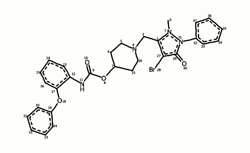 Cn1c(CN2CCC(OC(=O)Nc3ccccc3Oc3ccccc3)CC2)c(Br)c(=O)n1-c1ccccc1